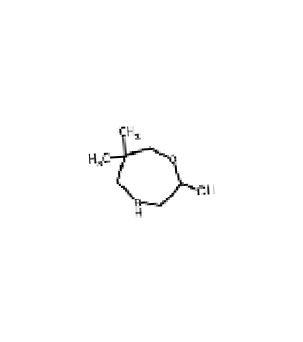 CC1(C)CBCC(O)OC1